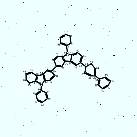 C1=CCCC(n2c3ccc(-c4ccc5c(c4)c4c(n5-c5ccccc5)CCC=C4)cc3c3cc(C4C=CC(c5ccccc5)=CC4)ccc32)=C1